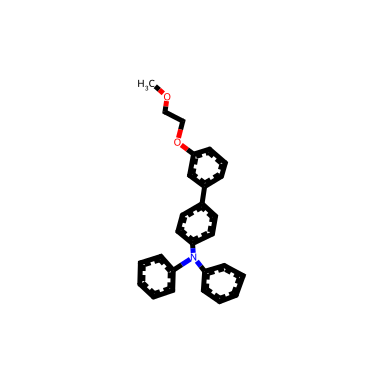 COCCOc1cccc(-c2ccc(N(c3ccccc3)c3ccccc3)cc2)c1